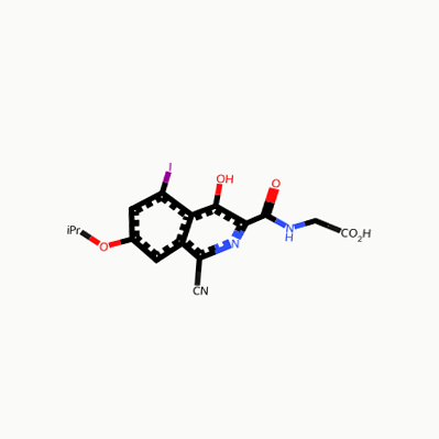 CC(C)Oc1cc(I)c2c(O)c(C(=O)NCC(=O)O)nc(C#N)c2c1